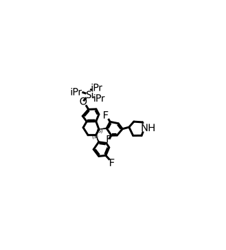 CC(C)[Si](Oc1ccc2c(c1)CC[C@H](c1ccc(F)cc1)[C@@H]2c1c(F)cc(C2CCNCC2)cc1F)(C(C)C)C(C)C